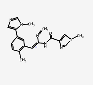 C=N/C(=C\c1cc(-c2cncn2C)ccc1C)NC(=O)c1cn(C)cn1